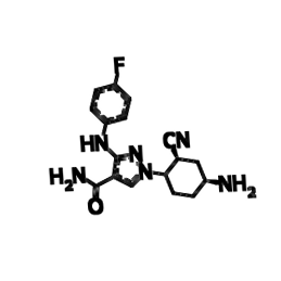 N#C[C@H]1C[C@@H](N)CCC1n1cc(C(N)=O)c(Nc2ccc(F)cc2)n1